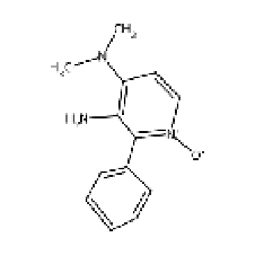 CN(C)c1cc[n+]([O-])c(-c2ccccc2)c1N